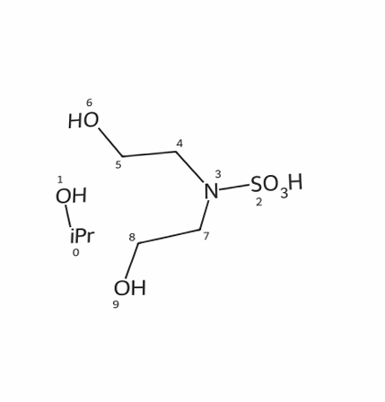 CC(C)O.O=S(=O)(O)N(CCO)CCO